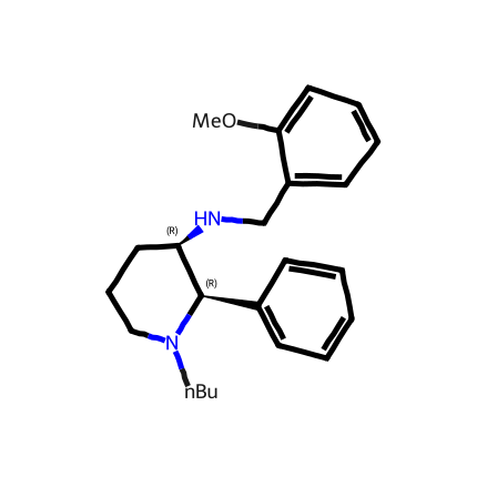 CCCCN1CCC[C@@H](NCc2ccccc2OC)[C@H]1c1ccccc1